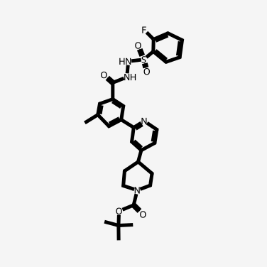 Cc1cc(C(=O)NNS(=O)(=O)c2ccccc2F)cc(-c2cc(C3CCN(C(=O)OC(C)(C)C)CC3)ccn2)c1